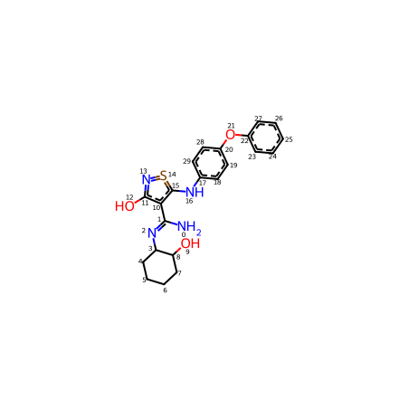 NC(=NC1CCCCC1O)c1c(O)nsc1Nc1ccc(Oc2ccccc2)cc1